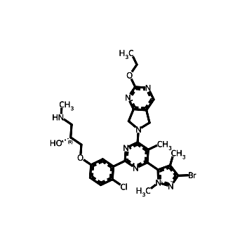 CCOc1ncc2c(n1)CN(c1nc(-c3cc(OC[C@H](O)CNC)ccc3Cl)nc(-c3c(C)c(Br)nn3C)c1C)C2